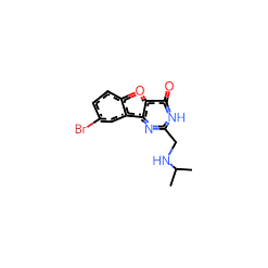 CC(C)NCc1nc2c(oc3ccc(Br)cc32)c(=O)[nH]1